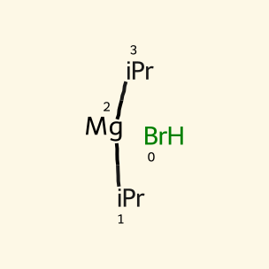 Br.C[CH](C)[Mg][CH](C)C